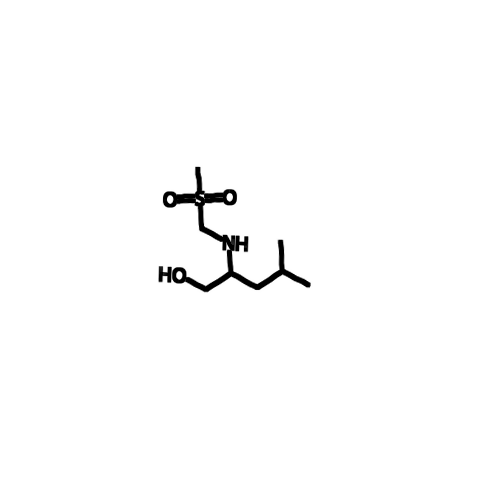 CC(C)CC(CO)NCS(C)(=O)=O